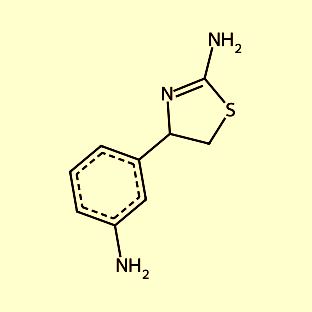 NC1=NC(c2cccc(N)c2)CS1